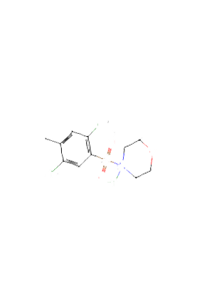 Cc1cc(Cl)c(S(=O)(=O)[N+]2(Br)CCOCC2)cc1Cl